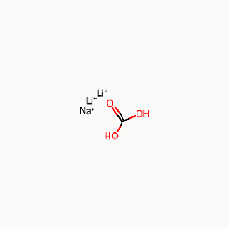 O=C(O)O.[Li+].[Li+].[Na+]